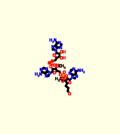 COC1C(CCC=O)OC(n2cnc3c(N)ncnc32)C1OP(=O)(O)OCC1OC(n2cnc3c(N)ncnc32)C(OP(=O)(O)OCC2OC(n3cnc4c(N)ncnc43)C(O)C2O)C1OC